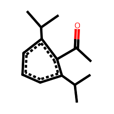 CC(=O)c1c(C(C)C)cccc1C(C)C